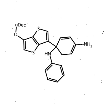 CCCCCCCCCCOc1csc2c(C3(Nc4ccccc4)C=CC(N)=CC3)csc12